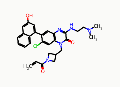 C=CC(=O)N1CC(Cn2c(=O)c(NCCN(C)C)nc3cc(-c4cc(O)cc5ccccc45)c(Cl)cc32)C1